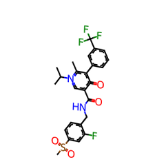 Cc1c(-c2cccc(C(F)(F)F)c2)c(=O)c(C(=O)NCc2ccc(S(C)(=O)=O)cc2F)cn1C(C)C